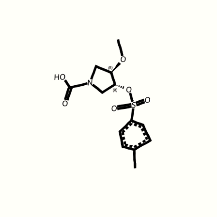 CO[C@@H]1CN(C(=O)O)C[C@H]1OS(=O)(=O)c1ccc(C)cc1